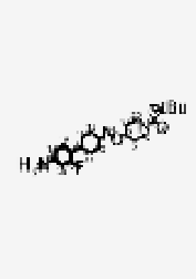 CC(C)(C)OC(=O)N1CCC(ON=C2CCC(c3ccc(N)cc3F)CC2)CC1